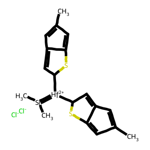 CC1=CC2=C[CH]([Hf+2]([CH]3C=C4C=C(C)C=C4S3)=[Si](C)C)SC2=C1.[Cl-].[Cl-]